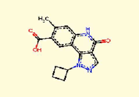 Cc1cc2[nH]c(=O)c3cnn(C4CCC4)c3c2cc1C(=O)O